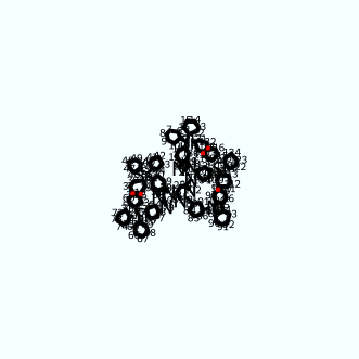 c1ccc([Si](c2ccccc2)(c2ccccc2)c2ccc3nc4n(-c5cc(-n6c7ccc([Si](c8ccccc8)(c8ccccc8)c8ccccc8)cc7n7c8cc([Si](c9ccccc9)(c9ccccc9)c9ccccc9)ccc8nc67)nc(-c6cccc(-n7c8ccccc8c8ccccc87)c6)n5)c5ccc([Si](c6ccccc6)(c6ccccc6)c6ccccc6)cc5n4c3c2)cc1